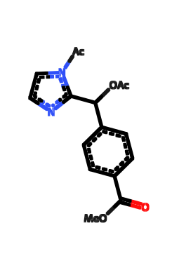 COC(=O)c1ccc(C(OC(C)=O)c2nccn2C(C)=O)cc1